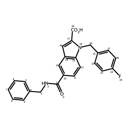 O=C(NCc1ccccc1)c1ccc2c(c1)cc(C(=O)O)n2Cc1ccc(F)cc1